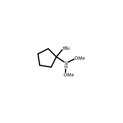 CO[SiH](OC)C1(C(C)(C)C)CCCC1